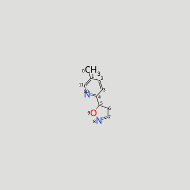 Cc1ccc(C2CC=NO2)nc1